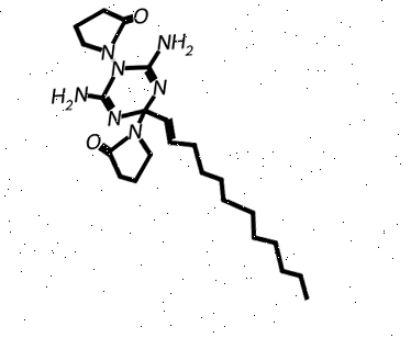 CCCCCCCCCC/C=C/C1(N2CCCC2=O)N=C(N)N(N2CCCC2=O)C(N)=N1